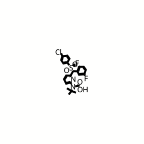 CC(C)(C)N(C(=O)O)c1cccc(C(c2cc(F)ccc2F)S(=O)(=O)c2ccc(Cl)cc2)n1